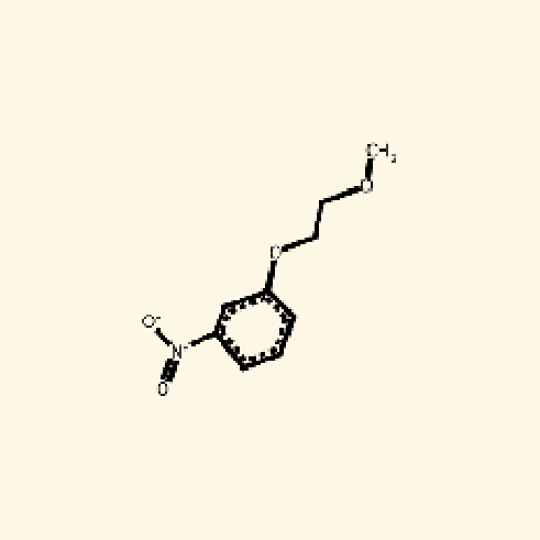 COCCOc1cccc([N+](=O)[O-])c1